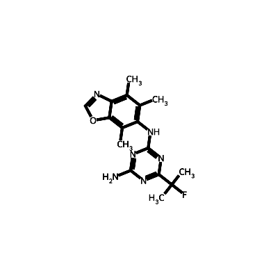 Cc1c(Nc2nc(N)nc(C(C)(C)F)n2)c(C)c2ocnc2c1C